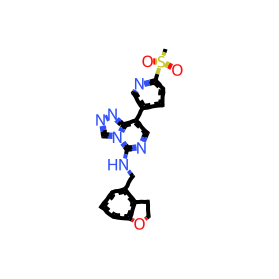 CS(=O)(=O)c1ccc(-c2cnc(NCc3cccc4c3CCO4)n3cnnc23)cn1